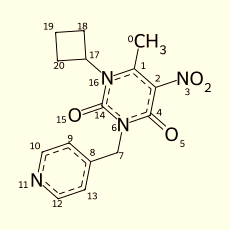 Cc1c([N+](=O)[O-])c(=O)n(Cc2ccncc2)c(=O)n1C1CCC1